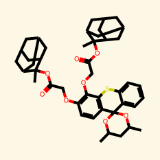 CC1CC(C)OC2(O1)c1ccccc1Sc1c2ccc(OCC(=O)OC2(C)C3CC4CC(C3)CC2C4)c1OCC(=O)OC1(C)C2CC3CC(C2)CC1C3